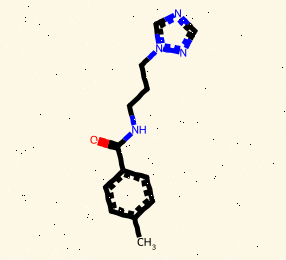 Cc1ccc(C(=O)NCCCn2cncn2)cc1